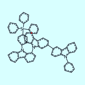 c1ccc(-n2c3ccccc3c3cc(-c4ccc5c6ccccc6n(-c6cccc7c8ccccc8n(-c8ccc([Si](c9ccccc9)(c9ccccc9)c9ccccc9)cc8)c67)c5c4)ccc32)cc1